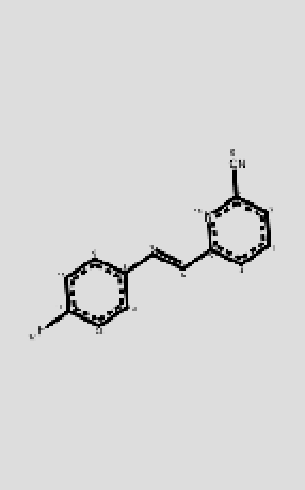 N#Cc1cccc(C=Cc2ccc(F)cc2)n1